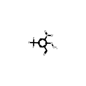 COc1c(C=O)cc(C(F)(F)F)cc1[N+](=O)[O-]